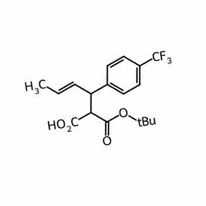 CC=CC(c1ccc(C(F)(F)F)cc1)C(C(=O)O)C(=O)OC(C)(C)C